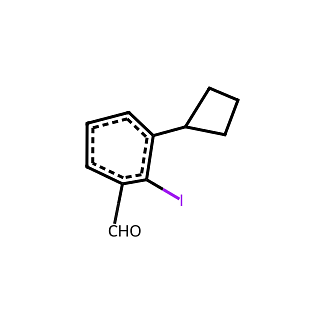 O=Cc1cccc(C2CCC2)c1I